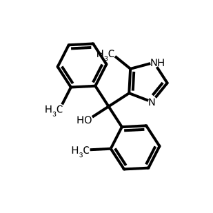 Cc1ccccc1C(O)(c1ccccc1C)c1nc[nH]c1C